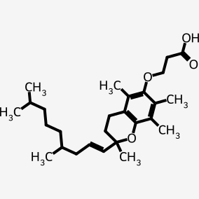 Cc1c(C)c2c(c(C)c1OCCC(=O)O)CCC(C)(C=CCC(C)CCCC(C)C)O2